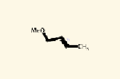 [CH2]OC/C=C/C